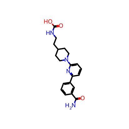 NC(=O)c1cccc(-c2cccc(N3CCC(CCNC(=O)O)CC3)n2)c1